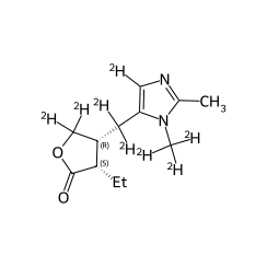 [2H]c1nc(C)n(C([2H])([2H])[2H])c1C([2H])([2H])[C@@H]1[C@H](CC)C(=O)OC1([2H])[2H]